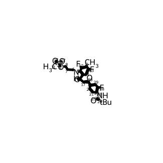 Cc1c(F)c(NCCCOS(C)(=O)=O)c2c(=O)cc(-c3ccc(NC(=O)C(C)(C)C)c(F)c3)oc2c1F